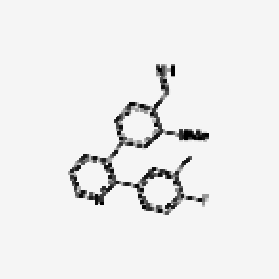 CNc1cc(-c2cccnc2-c2ccc(F)c(C)c2)ccc1C=N